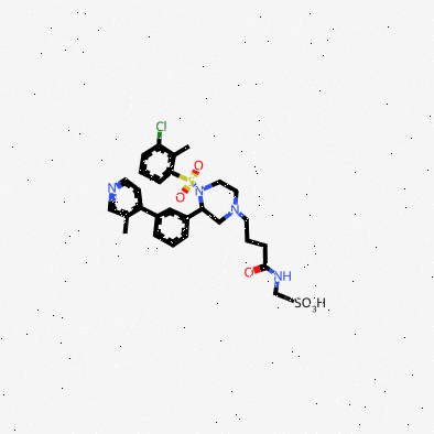 Cc1cnccc1-c1cccc(C2CN(CCCC(=O)NCS(=O)(=O)O)CCN2S(=O)(=O)c2cccc(Cl)c2C)c1